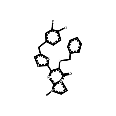 Cn1ccn2c(=O)c(OCc3ccccc3)c(-c3ncc(Cc4ccc(Cl)c(F)c4)s3)nc12